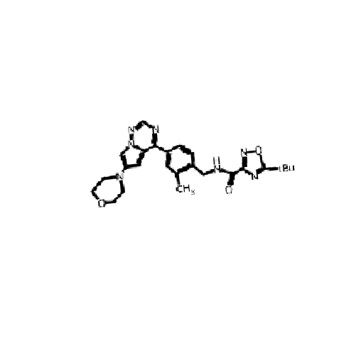 Cc1cc(-c2ncnn3cc(N4CCOCC4)cc23)ccc1CNC(=O)c1noc(C(C)(C)C)n1